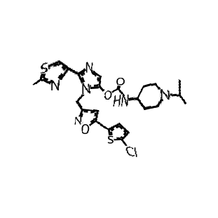 Cc1nc(-c2ncc(OC(=O)NC3CCN(C(C)C)CC3)n2Cc2cc(-c3ccc(Cl)s3)on2)cs1